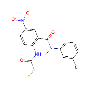 CN(C(=O)c1cc([N+](=O)[O-])ccc1NC(=O)CF)c1cccc(Cl)c1